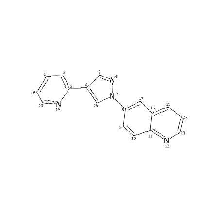 c1ccc(-c2cnn(-c3ccc4ncccc4c3)c2)nc1